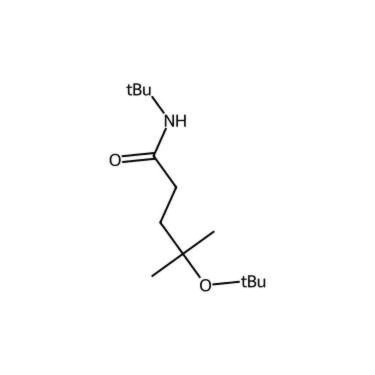 CC(C)(C)NC(=O)CCC(C)(C)OC(C)(C)C